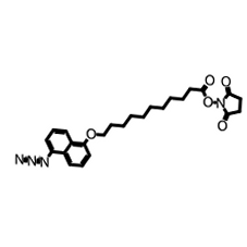 [N-]=[N+]=Nc1cccc2c(OCCCCCCCCCCC(=O)ON3C(=O)CCC3=O)cccc12